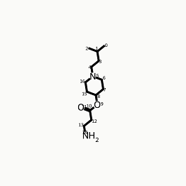 CC(C)CCN1CCC(OC(=O)CCN)CC1